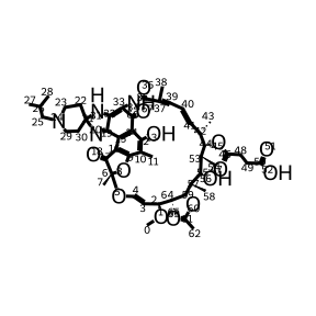 CO[C@H]1/C=C/O[C@@]2(C)Oc3c(C)c(O)c4c(c3C2=O)C2=NC3(CCN(CC(C)C)CC3)NC2=C(NC(=O)/C(C)=C\C=C\[C@H](C)[C@H](OC(=O)CCC(=O)O)[C@@H](C)[C@@H](O)[C@@H](C)[C@H](OC(C)=O)[C@@H]1C)C4=O